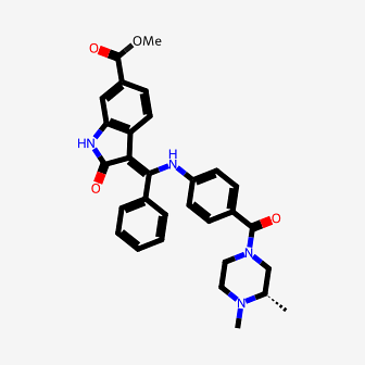 COC(=O)c1ccc2c(c1)NC(=O)C2=C(Nc1ccc(C(=O)N2CCN(C)[C@@H](C)C2)cc1)c1ccccc1